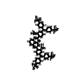 CNc1cc(C(c2ccc(C(F)(F)F)cc2)c2ccc(C(F)(F)F)cc2)ccc1C1=NC2=CC=CC3=NC(c4ccc(N(c5ccc(C(F)(F)F)cc5)c5ccc(C(F)(F)F)cc5)cc4NC)=NC(=N1)N23